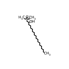 CCCCCCCCCCCCCCCCCCC(O)C[N+]([O-])(CC)CC